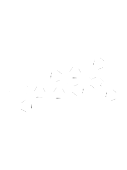 c1ccc(-c2nc(-c3ccccc3)nc(-c3ccc4c(c3)C3(c5ccccc5-c5ccccc53)c3cc(-c5ccc6c(c5)-c5ccccc5C65C6CC7CC(C6)CC5C7)ccc3-4)n2)cc1